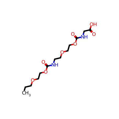 CCCOCCOC(=O)NCCOCCOC(=O)NCC(=O)O